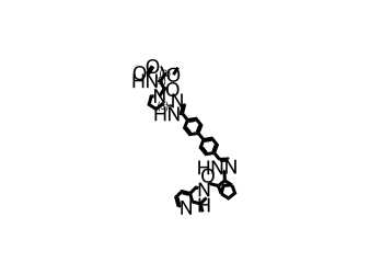 COC(=O)N[C@H](C(=O)N1CCC[C@H]1c1ncc(-c2ccc(-c3ccc(-c4cnc(C5C6CCC(C6)C5C(=O)NCc5cccnc5C(C)C)[nH]4)cc3)cc2)[nH]1)[C@@H](C)OC